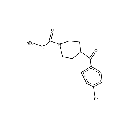 CCCCOC(=O)N1CCC(C(=O)c2ccc(Br)cc2)CC1